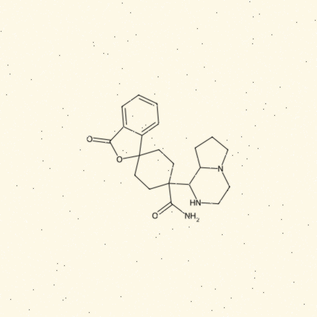 NC(=O)C1(C2NCCN3CCCC23)CCC2(CC1)OC(=O)c1ccccc12